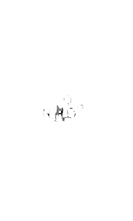 COc1ccc(C(OC[C@H]2OC[C@H](OCc3ccccc3)[C@@H]2OP(OCCC#N)N(C(C)C)C(C)C)(c2ccccc2)c2ccc(OC)cc2)cc1